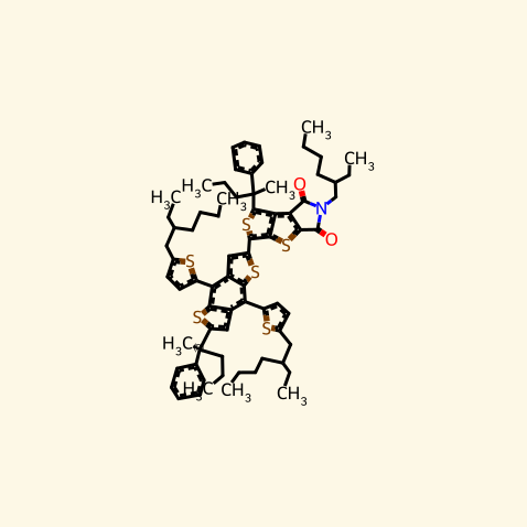 CCCCC(CC)Cc1ccc(-c2c3cc([C@](C)(CCC)c4ccccc4)sc3c(-c3ccc(CC(CC)CCCC)s3)c3cc(-c4sc(C(C)(CCC)c5ccccc5)c5c6c(sc45)C(=O)N(CC(CC)CCCC)C6=O)sc23)s1